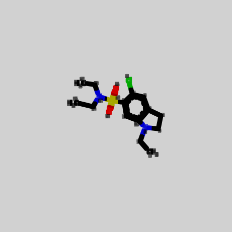 CCN1CCc2cc(Cl)c(S(=O)(=O)N(CC)CC)cc21